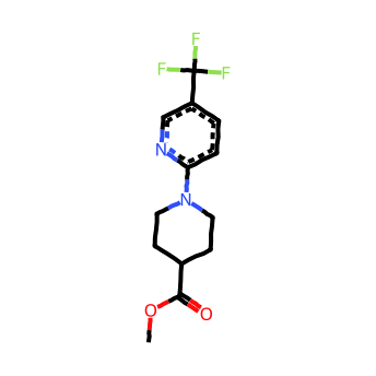 COC(=O)C1CCN(c2ccc(C(F)(F)F)cn2)CC1